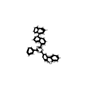 c1ccc(-c2nc(-c3ccc4oc5ccccc5c4c3)nc(-c3cccc4c(-c5cccc6ccccc56)cccc34)n2)cc1